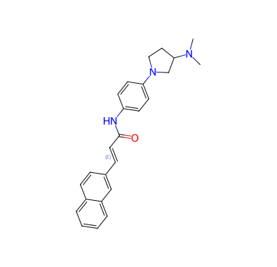 CN(C)C1CCN(c2ccc(NC(=O)/C=C/c3ccc4ccccc4c3)cc2)C1